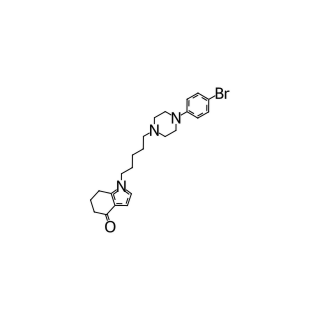 O=C1CCCc2c1ccn2CCCCCN1CCN(c2ccc(Br)cc2)CC1